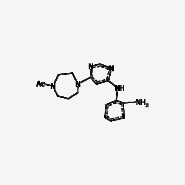 CC(=O)N1CCCN(c2cc(Nc3ccccc3N)ncn2)CC1